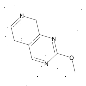 COc1ncc2c(n1)CN=CC2